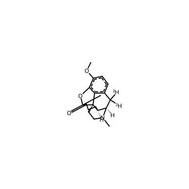 [2H]C1([2H])c2ccc(OC)c3c2[C@]24CCN(C)[C@H]1[C@@H]2CCC(=O)C4O3